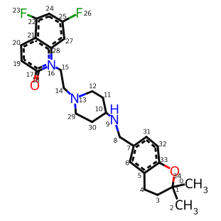 CC1(C)CCc2cc(CNC3CCN(CCn4c(=O)ccc5c(F)cc(F)cc54)CC3)ccc2O1